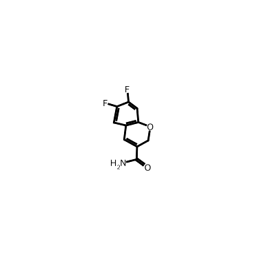 NC(=O)C1=Cc2cc(F)c(F)cc2OC1